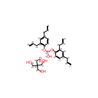 C=CCc1ccc(OP(O)Oc2ccc(CC=C)cc2CC=C)c(CC=C)c1.OCC(CO)(CO)CO